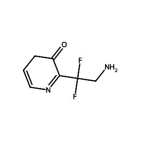 NCC(F)(F)C1=NC=CCC1=O